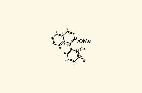 COc1ccc2ccccc2c1-c1cccc(C)[n+]1C